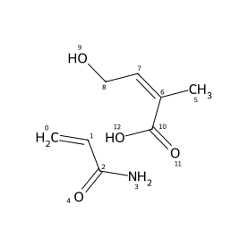 C=CC(N)=O.CC(=CCO)C(=O)O